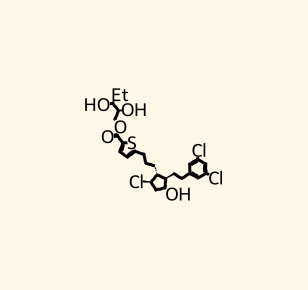 CC[C@H](O)[C@@H](O)COC(=O)c1ccc(CCC[C@@H]2[C@@H](CCc3cc(Cl)cc(Cl)c3)[C@H](O)C[C@H]2Cl)s1